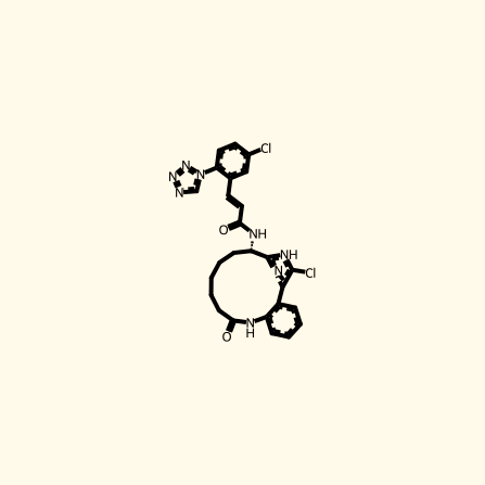 O=C(/C=C/c1cc(Cl)ccc1-n1cnnn1)N[C@H]1CCCCCC(=O)Nc2ccccc2-c2nc1[nH]c2Cl